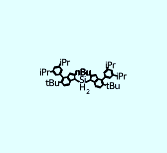 CCCCC1=Cc2c(ccc(C(C)(C)C)c2-c2cc(C(C)C)cc(C(C)C)c2)C1C[SiH2]CC1C(CCCC)=Cc2c1ccc(C(C)(C)C)c2-c1cc(C(C)C)cc(C(C)C)c1